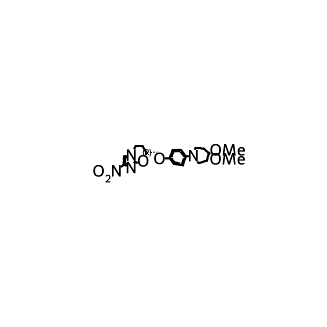 COC1(OC)CCN(c2ccc(OC[C@H]3CCn4cc([N+](=O)[O-])nc4O3)cc2)CC1